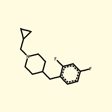 Fc1ccc(CC2CCN(CC3CC3)CC2)c(F)c1